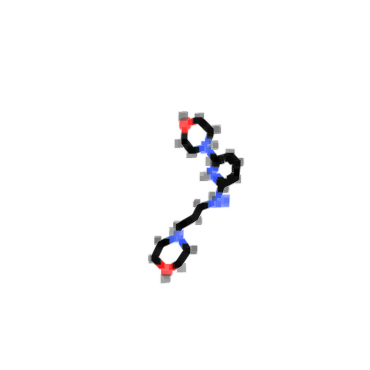 [c]1cc(NCCCN2CCOCC2)nc(N2CCOCC2)c1